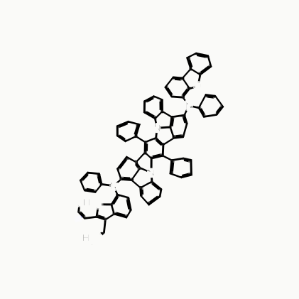 C=Cc1c(/C=C\C)oc2c(N(c3ccccc3)c3ccc4c5c(-c6ccccc6)c6c(c(-c7ccccc7)c5n5c7ccccc7c3c45)c3ccc(N(c4ccccc4)c4cccc5c4oc4ccccc45)c4c5ccccc5n6c34)cccc12